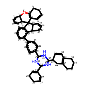 C1=CC2OC3=C(C=CCC3)C3(c4cccc(-c5ccc(C6NC(C7=CCCC=C7)NC(C7C=CC8=C(CCCC8)C7)N6)cc5)c4C4C=CC=CC43)C2C=C1